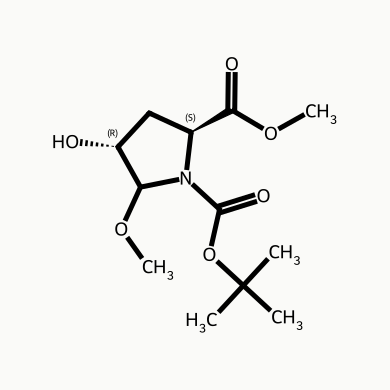 COC(=O)[C@@H]1C[C@@H](O)C(OC)N1C(=O)OC(C)(C)C